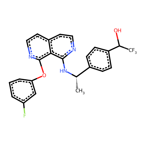 C[C@H](Nc1nccc2ccnc(Oc3cccc(F)c3)c12)c1ccc(C(O)C(F)(F)F)cc1